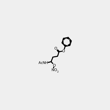 CC(=O)NC(CCC(=O)Oc1ccccc1)O[N+](=O)[O-]